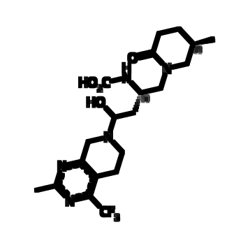 Cc1nc2c(c(C(F)(F)F)n1)CCN(C(O)C[C@@H](CN1C[C@H](C)CCC1=O)NC(=O)O)C2